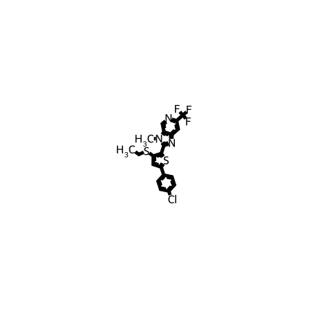 CCSc1cc(-c2ccc(Cl)cc2)sc1-c1nc2cc(C(F)(F)F)ncc2n1C